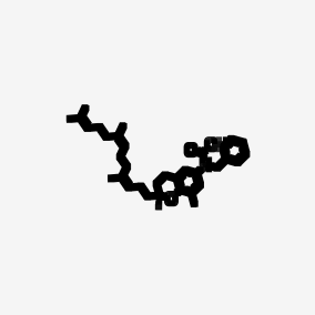 CC(C)=CCCC(C)=CCCC(C)=CCC[C@]1(C)CCc2cc(N(Cc3ccccc3)C(=O)O)cc(C)c2O1